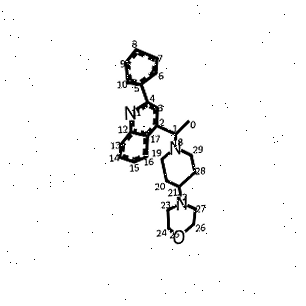 CC(c1cc(-c2ccccc2)nc2ccccc12)N1CCC(N2CCOCC2)CC1